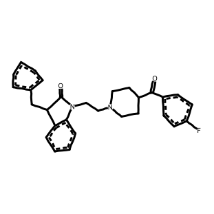 O=C(c1ccc(F)cc1)C1CCN(CCN2C(=O)C(Cc3ccccc3)c3ccccc32)CC1